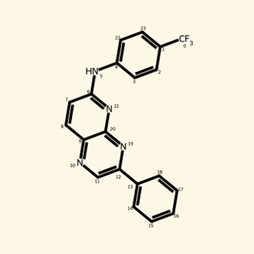 FC(F)(F)c1ccc(Nc2ccc3ncc(-c4ccccc4)nc3n2)cc1